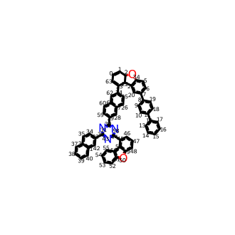 C1=CC2Oc3ccc(-c4ccc(-c5ccccc5)cc4)cc3C2C(c2ccc3cc(-c4nc(-c5ccc6ccccc6c5)nc(-c5cccc6oc7ccccc7c56)n4)ccc3c2)=C1